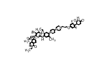 CCOc1cc(N2CCC(N3CCN(CCCOc4cc(F)c(C5CCC(=O)NC5=O)c(F)c4)CC3)CC2)c(CC)cc1Nc1ncc(Br)c(Nc2ccc3c(=O)n(CC)ncc3c2P(C)(C)=O)n1